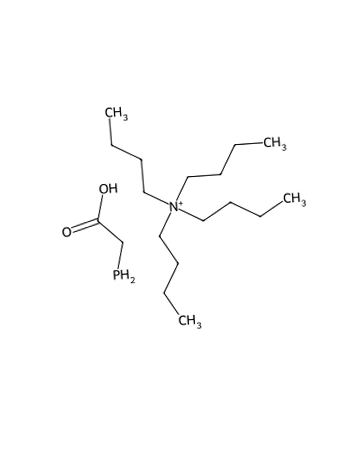 CCCC[N+](CCCC)(CCCC)CCCC.O=C(O)CP